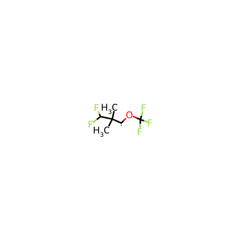 CC(C)([CH]OC(F)(F)F)C(F)F